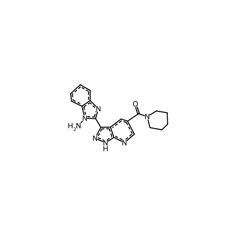 Nn1c(-c2n[nH]c3ncc(C(=O)N4CCCCC4)cc23)nc2ccccc21